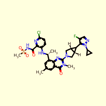 Cc1cc([C@@H](C)Nc2ccc(Cl)nc2C(=O)NS(C)(=O)=O)c2nc(N3C[C@@H]4C(c5c(F)cnn5C5CC5)[C@@H]4C3)n(C)c(=O)c2c1